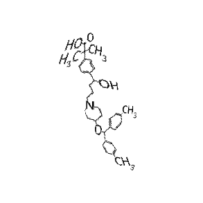 Cc1ccc(C(OC2CCN(CCCC(O)c3ccc(C(C)(C)C(=O)O)cc3)CC2)c2ccc(C)cc2)cc1